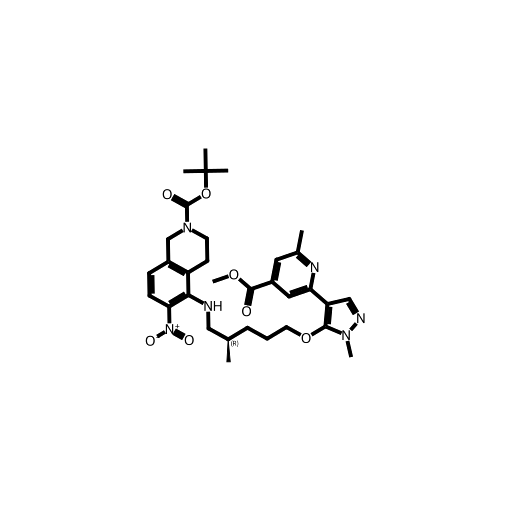 COC(=O)c1cc(C)nc(-c2cnn(C)c2OCCC[C@@H](C)CNc2c([N+](=O)[O-])ccc3c2CCN(C(=O)OC(C)(C)C)C3)c1